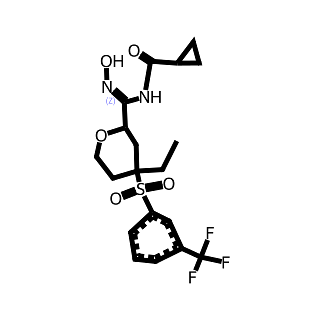 CCC1(S(=O)(=O)c2cccc(C(F)(F)F)c2)CCOC(/C(=N/O)NC(=O)C2CC2)C1